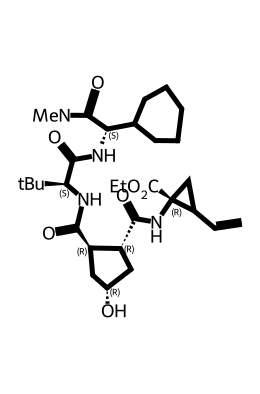 C=CC1C[C@]1(NC(=O)[C@@H]1C[C@H](O)C[C@H]1C(=O)N[C@H](C(=O)N[C@H](C(=O)NC)C1CCCCC1)C(C)(C)C)C(=O)OCC